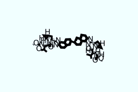 COC(=O)N[C@H](C(=O)N1[C@@H]2C[C@@H]2C[C@H]1c1nc2c(ccc3cc(-c4ccc5c(ccc6nc([C@@H]7C[C@H]8C[C@H]8N7C(=O)[C@@H](NC(=O)OC)C(C)C)[nH]c65)c4)ccc32)[nH]1)C(C)C